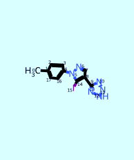 Cc1ccc(-n2ncc(-c3nn[nH]n3)c2I)cc1